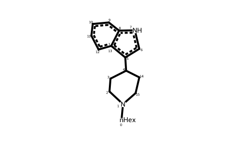 CCCCCCN1CCC(c2c[nH]c3ccccc23)CC1